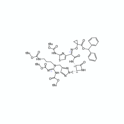 CC(C)(C)OC(=O)/N=C(/NC(=O)OC(C)(C)C)N(CCCNC(=O)OC(C)(C)C)Cc1cnn(C[C@H]2NC(=O)[C@H]2NC(=O)/C(=N\OC2(C(=O)OC(c3ccccc3)c3ccccc3)CC2)c2csc(NC(=O)OC(C)(C)C)n2)n1